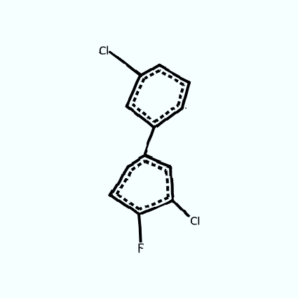 Fc1ccc(-c2[c]ccc(Cl)c2)cc1Cl